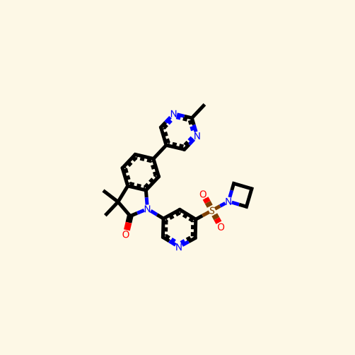 Cc1ncc(-c2ccc3c(c2)N(c2cncc(S(=O)(=O)N4CCC4)c2)C(=O)C3(C)C)cn1